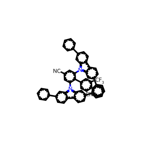 N#Cc1cc(-c2c(-n3c4cc(-c5ccccc5)ccc4c4ccc(-c5ccccc5)cc43)cc(C#N)cc2-n2c3cc(-c4ccccc4)ccc3c3ccc(-c4ccccc4)cc32)cc(C(F)(F)F)c1